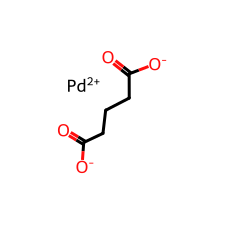 O=C([O-])CCCC(=O)[O-].[Pd+2]